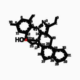 CCc1nn(-c2c(C)cc(C)cc2C)c(N(C)C)c1Cc1c(OCCO)ccc2ccccc12